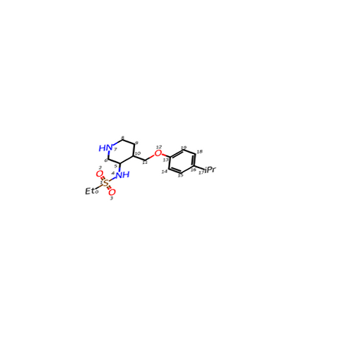 CCS(=O)(=O)NC1CNCCC1COc1ccc(C(C)C)cc1